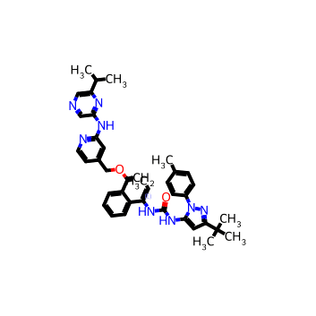 C=C(OCc1ccnc(Nc2cncc(C(C)C)n2)c1)c1ccccc1/C(=C\C)NC(=O)Nc1cc(C(C)(C)C)nn1-c1ccc(C)cc1